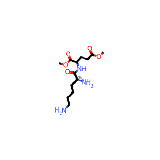 COC(=O)CCC(NC(=O)[C@@H](N)CCCCN)C(=O)OC